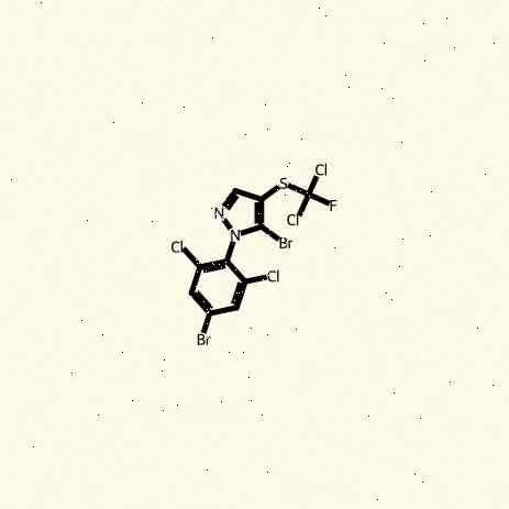 FC(Cl)(Cl)Sc1cnn(-c2c(Cl)cc(Br)cc2Cl)c1Br